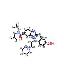 CC(C)CN(CC(C)C)C(=O)c1ccc2nc(Cc3cccc(O)c3)n(CCCN3CCCCC3)c2c1